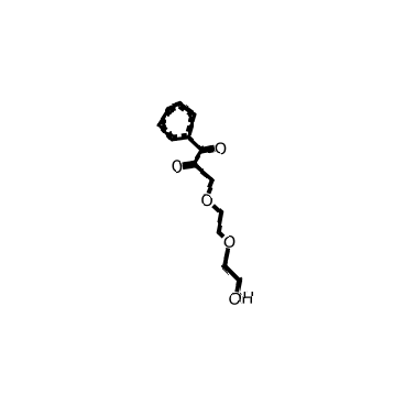 O=C(COCCOCCO)C(=O)c1ccccc1